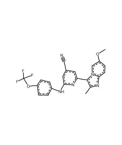 COc1ccc2nc(C)c(-c3cc(C#N)cc(Nc4ccc(OC(F)(F)F)cc4)n3)n2c1